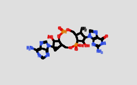 CC1C2CO[PH](=O)OC3C(COP(=O)(O)C2C(O)C1n1cnc2c(=O)[nH]c(N)nc21)C1CC1(n1cnc2c(N)ncnc21)C3O